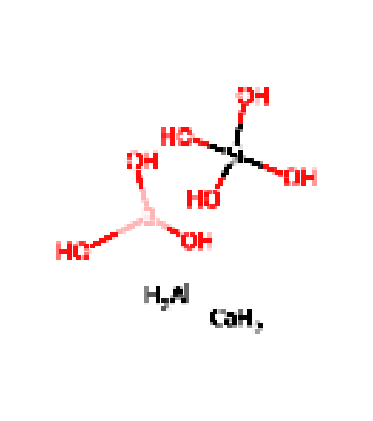 OB(O)O.O[Si](O)(O)O.[AlH3].[CaH2]